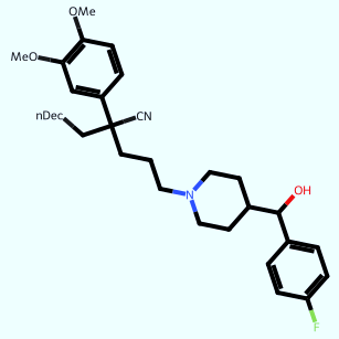 CCCCCCCCCCCC(C#N)(CCCN1CCC(C(O)c2ccc(F)cc2)CC1)c1ccc(OC)c(OC)c1